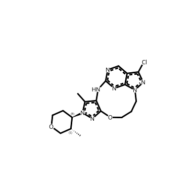 Cc1c2c(nn1[C@@H]1CCOC[C@H]1C)OCCCn1nc(Cl)c3cnc(nc31)N2